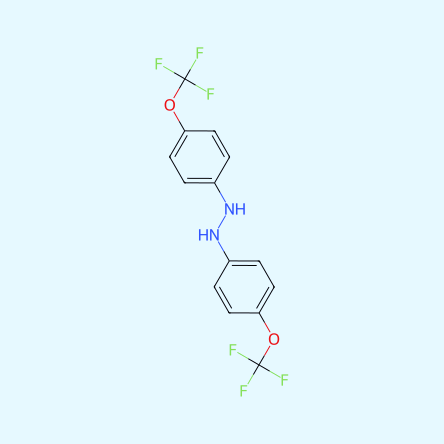 FC(F)(F)Oc1ccc(NNc2ccc(OC(F)(F)F)cc2)cc1